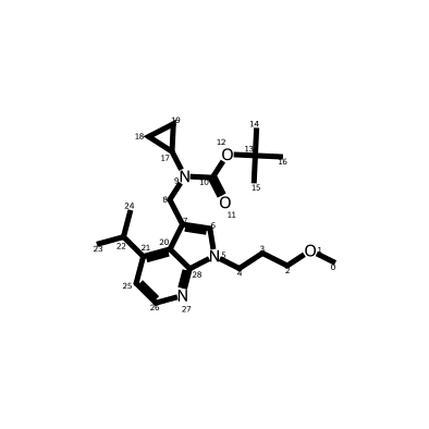 COCCCn1cc(CN(C(=O)OC(C)(C)C)C2CC2)c2c(C(C)C)ccnc21